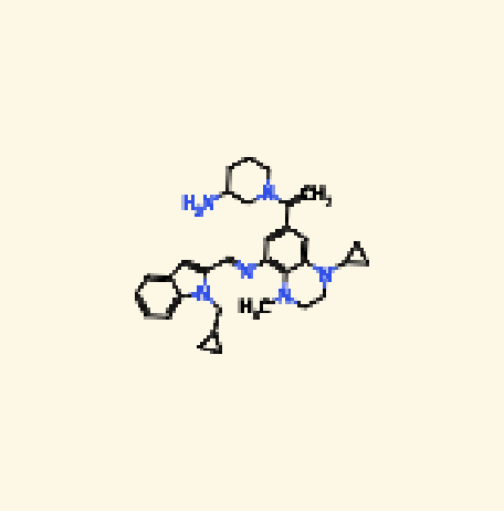 C=C(c1cc(/N=C/c2cc3ccccc3n2CC2CC2)c2c(c1)N(C1CC1)CCN2C)N1CCCC(N)C1